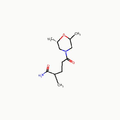 CC1CN(C(=O)[CH]CC(C)C(N)=O)C[C@H](C)O1